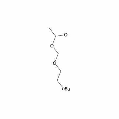 CCCCCCOCOC(C)[O]